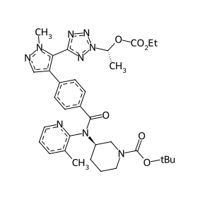 CCOC(=O)O[C@H](C)n1nnc(-c2c(-c3ccc(C(=O)N(c4ncccc4C)[C@@H]4CCCN(C(=O)OC(C)(C)C)C4)cc3)cnn2C)n1